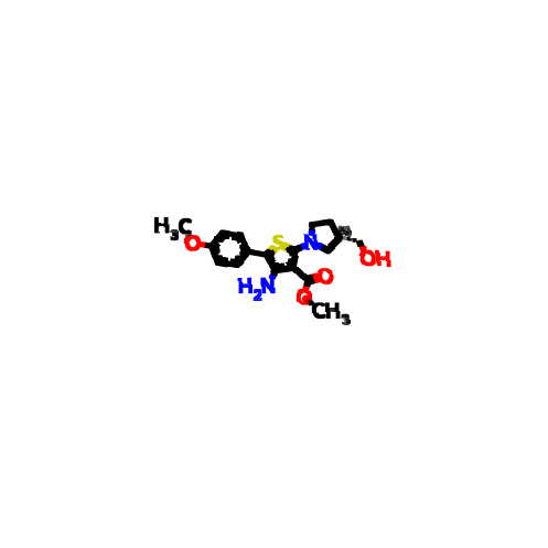 COC(=O)c1c(N2CC[C@H](CO)C2)sc(-c2ccc(OC)cc2)c1N